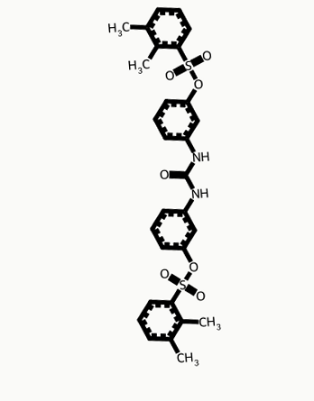 Cc1cccc(S(=O)(=O)Oc2cccc(NC(=O)Nc3cccc(OS(=O)(=O)c4cccc(C)c4C)c3)c2)c1C